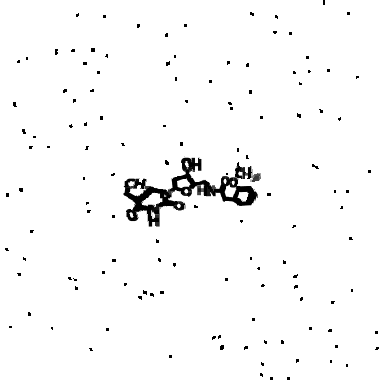 CCc1cn([C@H]2C[C@H](O)[C@@H](CNC(=O)Cc3ccccc3OC)O2)c(=O)[nH]c1=O